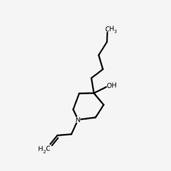 C=CCN1CCC(O)(CCCCC)CC1